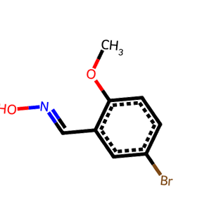 COc1ccc(Br)cc1C=NO